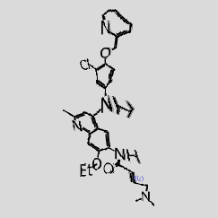 CCOc1cc2nc(C)cc(Nc3ccc(OCc4ccccn4)c(Cl)c3)c2cc1NC(=O)/C=C/CN(C)C